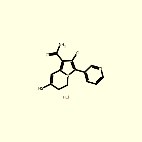 Cl.NC(=O)c1c(Cl)c(-c2cccnc2)n2c1C=C(S)CC2